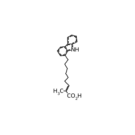 CC(=CCCCCCCc1cccc2c1[nH]c1ccccc12)C(=O)O